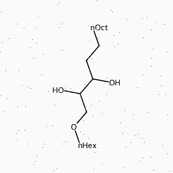 CCCCCCCCCCC(O)C(O)COCCCCCC